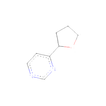 [c]1nccc(C2CCCO2)n1